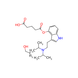 CC(C)N(CCc1c[nH]c2cccc(OC(=O)CCCC(=O)O)c12)C(C)C.CCO